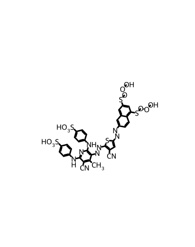 Cc1c(C#N)c(Nc2ccc(S(=O)(=O)O)cc2)nc(Nc2ccc(S(=O)(=O)O)cc2)c1/N=N/c1sc(/N=N/c2ccc3c(SOOO)cc(SOOO)cc3c2)cc1C#N